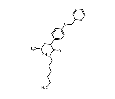 CCCCCCOC(=O)C(CN(C)C)c1ccc(OCc2ccccc2)cc1